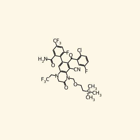 C[Si](C)(C)CCOCN1C(=O)CN(CC(F)(F)F)c2cc(-c3c(F)cc(C(F)(F)F)cc3C(N)=O)c(C(=O)c3cc(F)ccc3Cl)c(C#N)c21